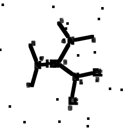 CCN(CC)[SiH](N(C)C)N(C)C